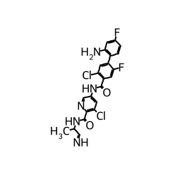 CC(C=N)NC(=O)c1ncc(NC(=O)c2cc(F)c(-c3ccc(F)cc3N)cc2Cl)cc1Cl